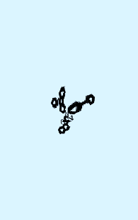 c1ccc(-c2ccc(N(c3ccc4c(c3)c3ccccc3n4-c3ccccc3)c3cc4oc5c6ccccc6ccc5c4cn3)cc2)cc1